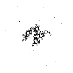 Cc1ccc(-c2ncc(F)cn2)c(C(=O)N2CC3CCC2C(Oc2ccc(C(F)(F)F)cn2)C3)n1